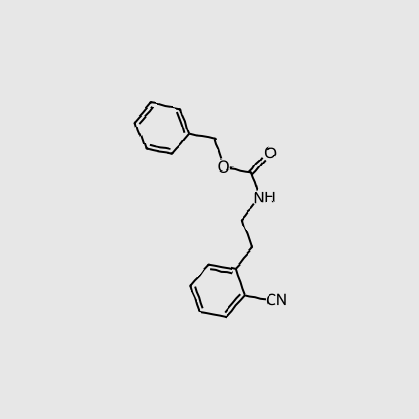 N#Cc1ccccc1CCNC(=O)OCc1ccccc1